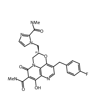 CNC(=O)c1c(O)c2ncc(Cc3ccc(F)cc3)c3c2n(c1=O)C[C@@H](Cn1ccnc1C(=O)NC)O3